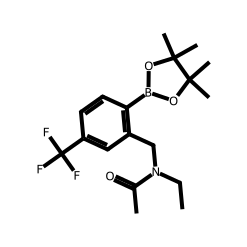 CCN(Cc1cc(C(F)(F)F)ccc1B1OC(C)(C)C(C)(C)O1)C(C)=O